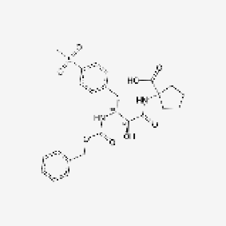 CS(=O)(=O)c1ccc(C[C@@H](NC(=O)OCc2ccccc2)[C@H](O)C(=O)NC2(C(=O)O)CCCC2)cc1